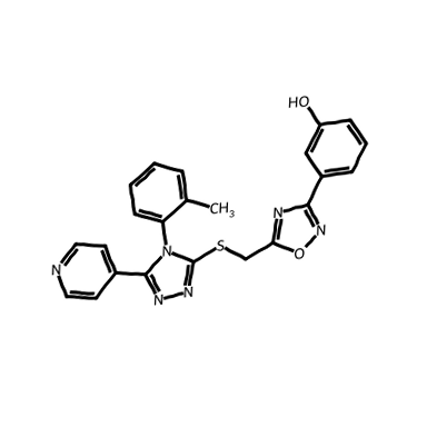 Cc1ccccc1-n1c(SCc2nc(-c3cccc(O)c3)no2)nnc1-c1ccncc1